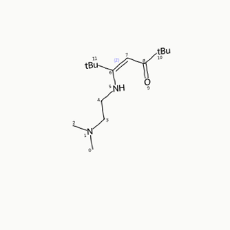 CN(C)CCN/C(=C\C(=O)C(C)(C)C)C(C)(C)C